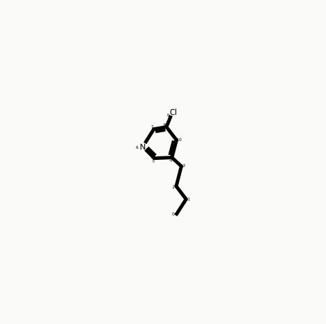 CCCCc1[c]ncc(Cl)c1